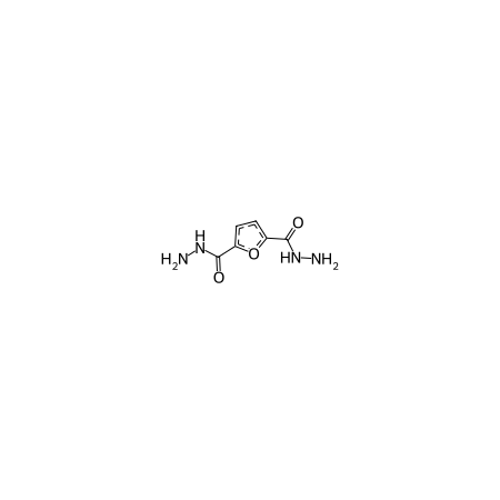 NNC(=O)c1ccc(C(=O)NN)o1